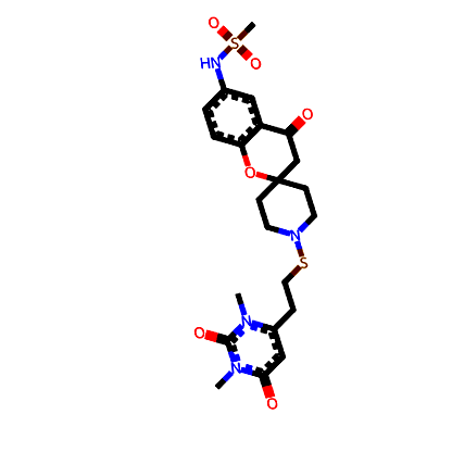 Cn1c(CCSN2CCC3(CC2)CC(=O)c2cc(NS(C)(=O)=O)ccc2O3)cc(=O)n(C)c1=O